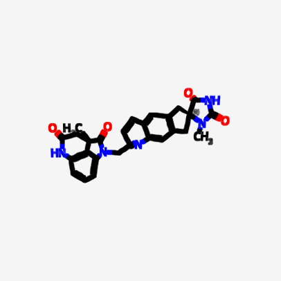 CN1C(=O)NC(=O)[C@]12Cc1cc3ccc(CN4C(=O)C5(C)CC(=O)Nc6cccc4c65)nc3cc1C2